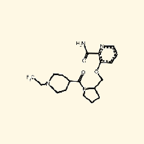 NC(=O)c1ncccc1OCC1CCCN1C(=O)C1CCN(CC(F)(F)F)CC1